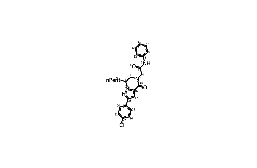 CCCCCC1CN(CC(=O)Nc2ccccc2)C(=O)c2cc(-c3ccc(Cl)cc3)nn21